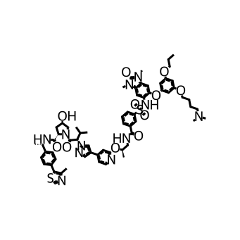 CCCOc1cc(OCCCCN(C)C)cc(Oc2cc3c(cc2NS(=O)(=O)c2cccc(C(=O)NC[C@@H](C)Oc4cc(-c5cnn(C(C(=O)N6C[C@H](O)C[C@H]6C(=O)N[C@@H](C)c6ccc(-c7scnc7C)cc6)C(C)C)c5)ccn4)c2)n(C)c(=O)n3C)c1